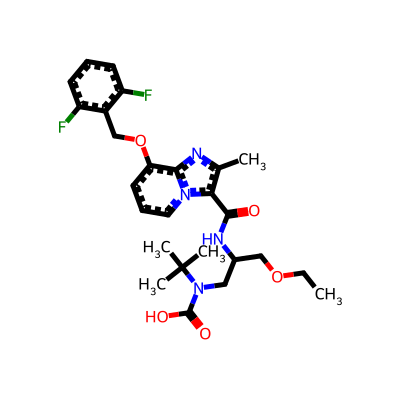 CCOCC(CN(C(=O)O)C(C)(C)C)NC(=O)c1c(C)nc2c(OCc3c(F)cccc3F)cccn12